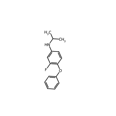 CC(C)Nc1ccc(Oc2ccccc2)c(F)c1